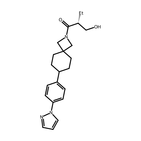 CC[C@H](CO)C(=O)N1CC2(CCC(c3ccc(-n4cccn4)cc3)CC2)C1